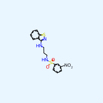 O=[N+]([O-])c1cccc(S(=O)(=O)NCCCNc2nsc3ccccc23)c1